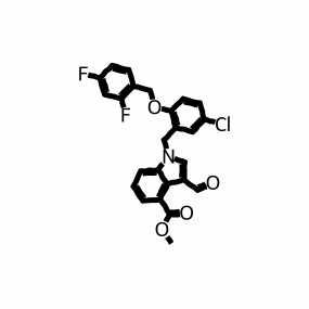 COC(=O)c1cccc2c1c(C=O)cn2Cc1cc(Cl)ccc1OCc1ccc(F)cc1F